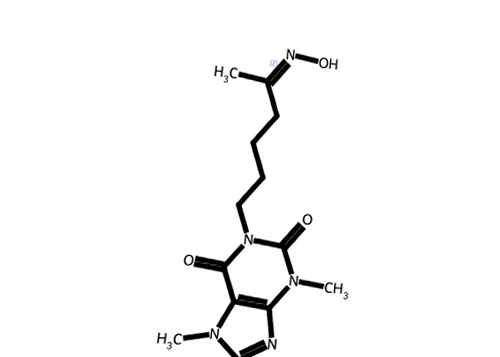 C/C(CCCCn1c(=O)c2c(ncn2C)n(C)c1=O)=N/O